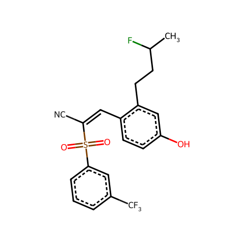 CC(F)CCc1cc(O)ccc1C=C(C#N)S(=O)(=O)c1cccc(C(F)(F)F)c1